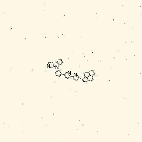 C1=CC2c3ccccc3N(c3cccc(-c4ccc(-c5ccc(-c6ccc7ccc8cccc9ccc6c7c89)cn5)nc4)c3)C2C=N1